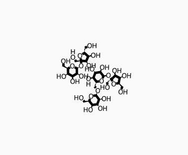 OC[C@H]1O[C@@](CO)(O[C@H]2O[C@H](CO)[C@@H](O)[C@H](O)[C@H]2O)[C@@H](O)[C@@H]1O.OC[C@H]1O[C@H](OC[C@H]2O[C@H](O[C@]3(CO)O[C@H](CO)[C@@H](O)[C@@H]3O)[C@H](O)[C@@H](O)[C@@H]2O)[C@H](O)[C@@H](O)[C@H]1O